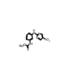 CC(C)(C)OC(=O)Nc1cccc(Nc2ncc([N+](=O)[O-])cn2)c1